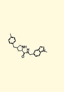 Cc1ccc(CC2CNC(C(=O)NCc3ccc4c(ccn4C)c3)C2)cc1